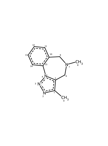 Cc1nnn2c1CN(C)Cc1ccccc1-2